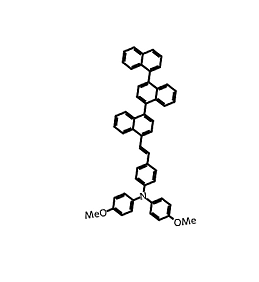 COc1ccc(N(c2ccc(C=Cc3ccc(-c4ccc(-c5cccc6ccccc56)c5ccccc45)c4ccccc34)cc2)c2ccc(OC)cc2)cc1